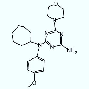 COc1ccc(N(c2nc(N)nc(N3CCOCC3)n2)C2CCCCCC2)cc1